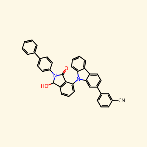 N#Cc1cccc(-c2ccc3c4ccccc4n(-c4cccc5c4C(=O)N(c4ccc(-c6ccccc6)cc4)C5O)c3c2)c1